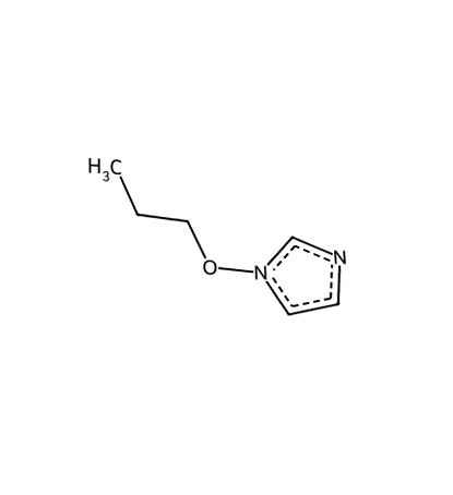 CCCOn1ccnc1